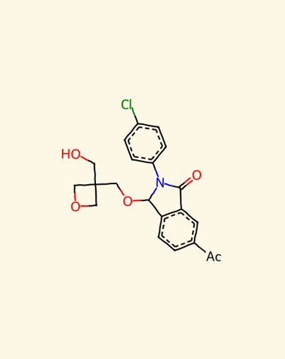 CC(=O)c1ccc2c(c1)C(=O)N(c1ccc(Cl)cc1)C2OCC1(CO)COC1